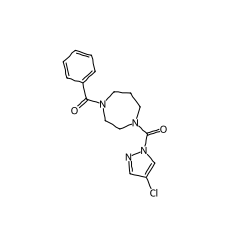 O=C(c1ccccc1)N1CCCN(C(=O)n2cc(Cl)cn2)CC1